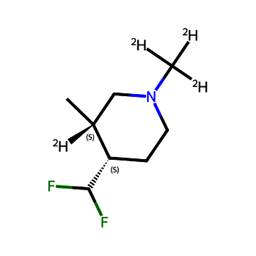 [2H]C([2H])([2H])N1CC[C@H](C(F)F)[C@]([2H])(C)C1